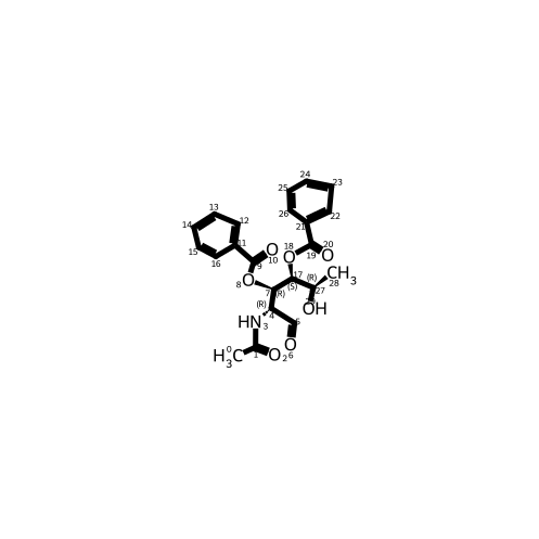 CC(=O)N[C@@H](C=O)[C@@H](OC(=O)c1ccccc1)[C@@H](OC(=O)c1ccccc1)[C@@H](C)O